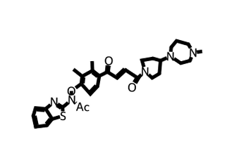 CC(=O)N(Oc1ccc(C(=O)C=CC(=O)N2CCC(N3CCCN(C)CC3)CC2)c(C)c1C)c1nc2ccccc2s1